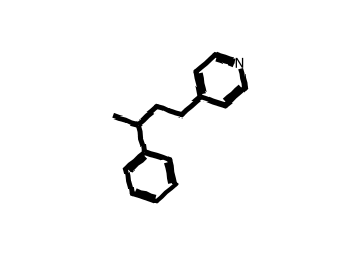 CC(CCc1ccncc1)c1ccccc1